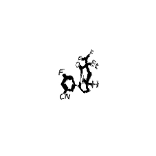 CCC1(C(F)F)C[C@@H]2CC[C@H](c3cc(F)cc(C#N)c3)N2C1=O